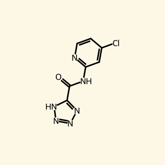 O=C(Nc1cc(Cl)ccn1)c1nnn[nH]1